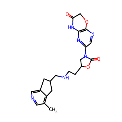 Cc1cncc2c1CC(CNCCC1CN(c3cnc4c(n3)NC(=O)CO4)C(=O)O1)C2